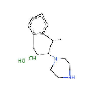 C[C@H]1c2ccccc2CC[C@H]1N1CCNCC1.Cl.Cl